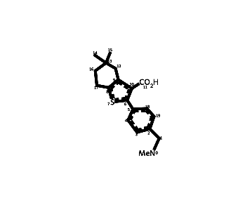 CNCc1ccc(-c2sc3c(c2C(=O)O)CC(C)(C)CC3)cc1